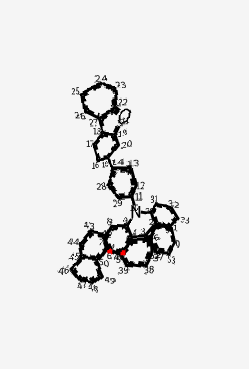 c1ccc(-c2ccccc2N(c2ccc(-c3ccc4c(c3)oc3ccccc34)cc2)c2ccccc2-c2cccc(-c3cccc4ccccc34)c2)cc1